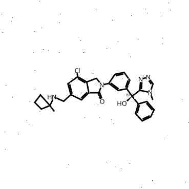 Cn1cnnc1[C@](O)(c1ccccc1)c1cccc(N2Cc3c(Cl)cc(CNC4(C)CCC4)cc3C2=O)c1